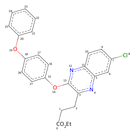 CCOC(=O)CCc1nc2cc(Cl)ccc2nc1Oc1ccc(Oc2ccccc2)cc1